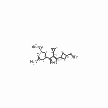 CCCCOCCC(CC(N)=O)c1noc(C2CC(CC(C)C)C2)c1C1CC1